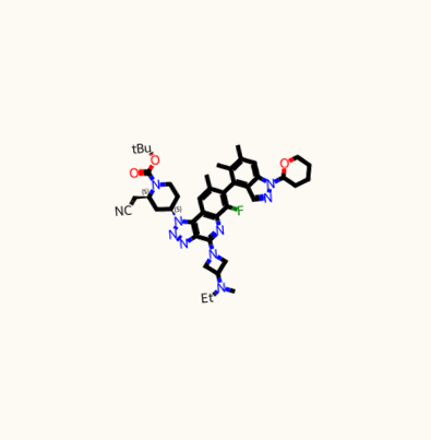 CCN(C)C1CN(c2nc3c(F)c(-c4c(C)c(C)cc5c4cnn5C4CCCCO4)c(C)cc3c3c2nnn3[C@H]2CCN(C(=O)OC(C)(C)C)[C@H](CC#N)C2)C1